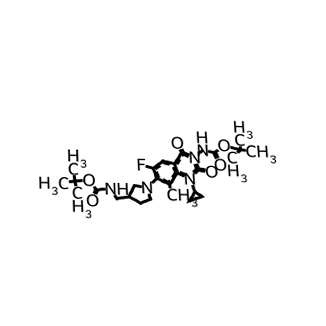 Cc1c(N2CCC(CNC(=O)OC(C)(C)C)C2)c(F)cc2c(=O)n(NC(=O)OC(C)(C)C)c(=O)n(C3CC3)c12